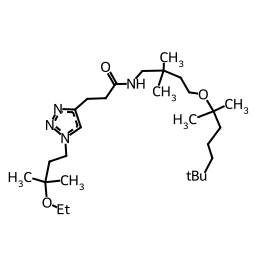 CCOC(C)(C)CCn1cc(CCC(=O)NCC(C)(C)CCOC(C)(C)CCCC(C)(C)C)nn1